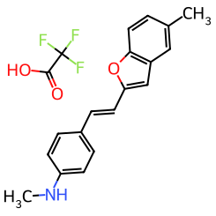 CNc1ccc(C=Cc2cc3cc(C)ccc3o2)cc1.O=C(O)C(F)(F)F